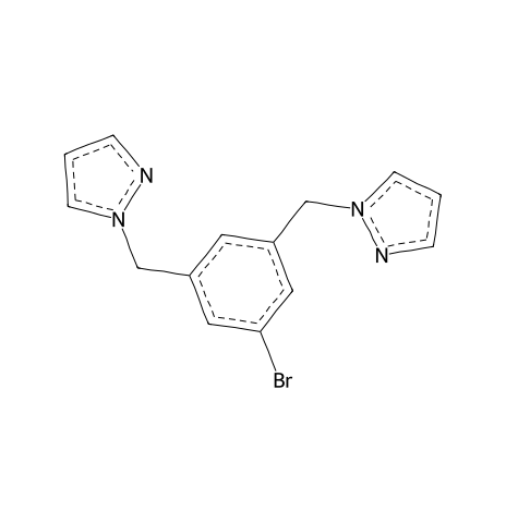 Brc1cc(Cn2cccn2)cc(Cn2cccn2)c1